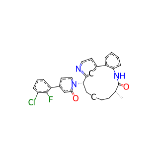 C[C@@H]1CCCC[C@H](n2ccc(-c3cccc(Cl)c3F)cc2=O)c2cc(ccn2)-c2ccccc2NC1=O